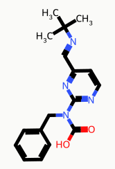 CC(C)(C)N=Cc1ccnc(N(Cc2ccccc2)C(=O)O)n1